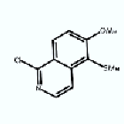 COc1ccc2c(Cl)nccc2c1SC